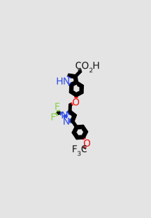 O=C(O)Cc1c[nH]c2cc(OCc3cc(-c4ccc(OC(F)(F)F)cc4)nn3C(F)F)ccc12